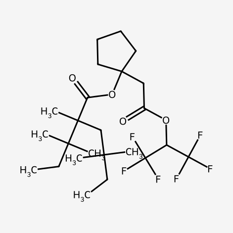 CCC(C)(C)CC(C)(C(=O)OC1(CC(=O)OC(C(F)(F)F)C(F)(F)F)CCCC1)C(C)(C)CC